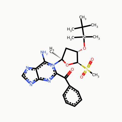 CC(C)(C)[Si](C)(C)O[C@H]1C[C@](C)(n2c(C(=O)c3ccccc3)nc3ncnc-3c2N)O[C@@H]1S(C)(=O)=O